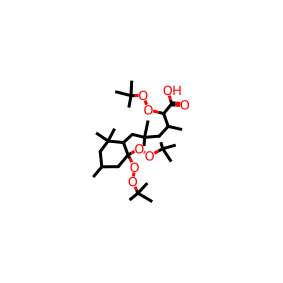 CC1CC(C)(C)C(CC(C)(C)CC(C)C(OOC(C)(C)C)C(=O)O)C(OOC(C)(C)C)(OOC(C)(C)C)C1